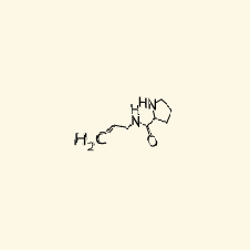 C=CCNC(=O)C1CCCN1